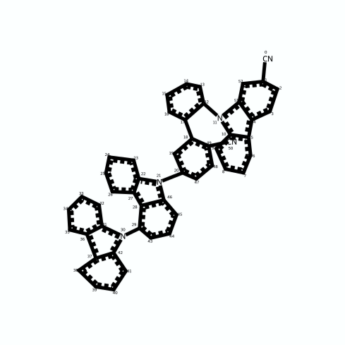 N#Cc1ccc2c3ccccc3n(-c3ccccc3-c3cc(-n4c5ccccc5c5c(-n6c7ccccc7c7ccccc76)cccc54)ccc3C#N)c2c1